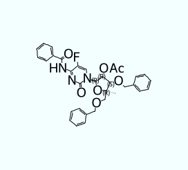 CC(=O)O[C@H]1[C@H](n2cc(F)c(NC(=O)c3ccccc3)nc2=O)O[C@](C)(COCc2ccccc2)[C@H]1OCc1ccccc1